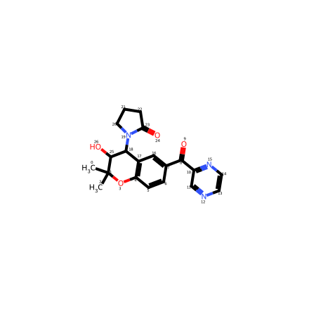 CC1(C)Oc2ccc(C(=O)c3cnccn3)cc2C(N2CCCC2=O)C1O